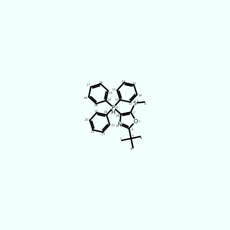 CSc1oc(C(C)(C)C)nc1[PH](c1ccccc1)(c1ccccc1)c1ccccc1